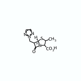 CC1S[C@H]2C(Cn3nccn3)C(=O)N2C1C(=O)O